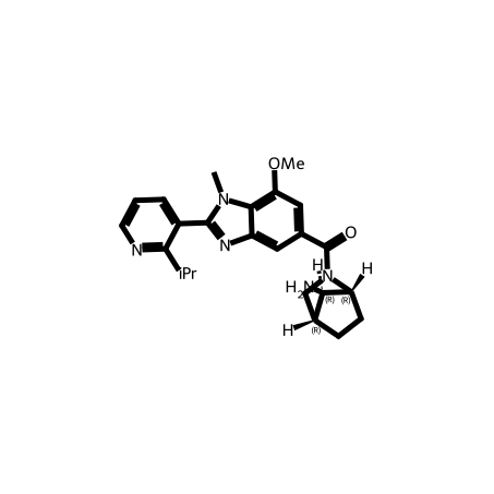 COc1cc(C(=O)N2C[C@H]3CC[C@@H]2[C@@H]3N)cc2nc(-c3cccnc3C(C)C)n(C)c12